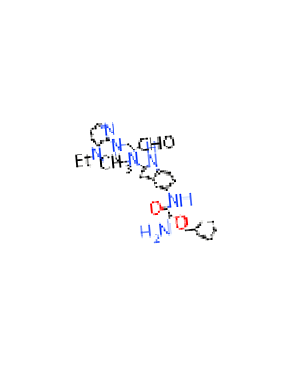 CCN(C)c1cccnc1N1CCN(c2cc3cc(NC(=O)C(N)OCc4ccccc4)ccc3[nH]2)C(C=O)C1